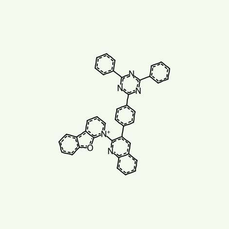 c1ccc(-c2nc(-c3ccccc3)nc(-c3ccc(-c4cc5ccccc5nc4-[n+]4cccc5c6ccccc6oc54)cc3)n2)cc1